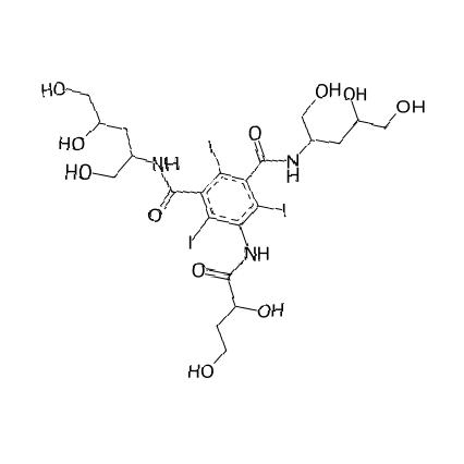 O=C(NC(CO)CC(O)CO)c1c(I)c(NC(=O)C(O)CCO)c(I)c(C(=O)NC(CO)CC(O)CO)c1I